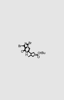 CC1CN(C(=O)OC(C)(C)C)CC1c1cn2c(Br)nc(Br)c2c(=O)[nH]1